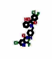 O=C(N[C@H]1CC[C@H](CN2C(=O)C(O)(c3ccc(F)c(Cl)c3)c3ccccc32)CC1)c1cc(Cl)cnc1C(F)F